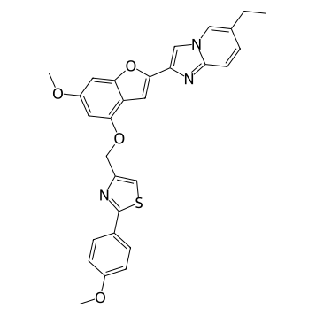 CCc1ccc2nc(-c3cc4c(OCc5csc(-c6ccc(OC)cc6)n5)cc(OC)cc4o3)cn2c1